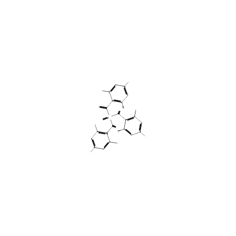 Cc1cc(C)c(C(=O)P(=S)(C(=O)c2c(C)cc(C)cc2C)C(=O)c2c(C)cc(C)cc2C)c(C)c1